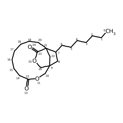 CCCCCCCC1CC23COC(=O)CCCCCCCC1(C2)C(=O)OC3